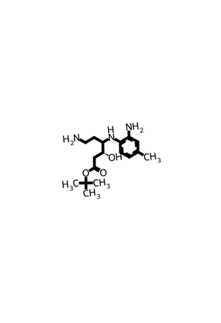 Cc1ccc(NC(CCN)[C@H](O)CC(=O)OC(C)(C)C)c(N)c1